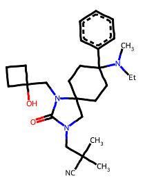 CCN(C)C1(c2ccccc2)CCC2(CC1)CN(CC(C)(C)C#N)C(=O)N2CC1(O)CCC1